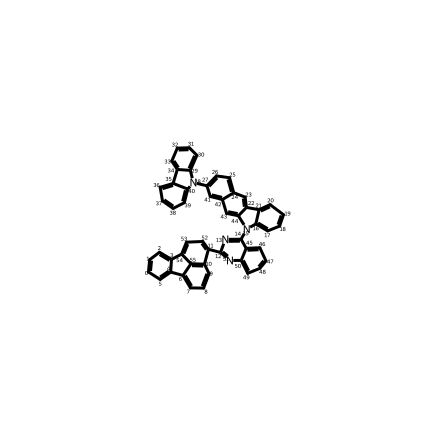 c1ccc2c(c1)-c1cccc3c(-c4nc(-n5c6ccccc6c6cc7ccc(-n8c9ccccc9c9ccccc98)cc7cc65)c5ccccc5n4)ccc-2c13